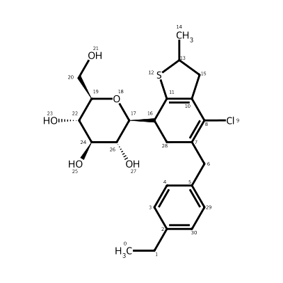 CCc1ccc(CC2=C(Cl)C3=C(SC(C)C3)C([C@@H]3O[C@H](CO)[C@@H](O)[C@H](O)[C@H]3O)C2)cc1